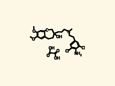 COc1cc2c(cc1OC)CCC(O)(CCCN(C)CCc1cc(Cl)c(N)c(Cl)c1)CC2.O=C(O)C(=O)O